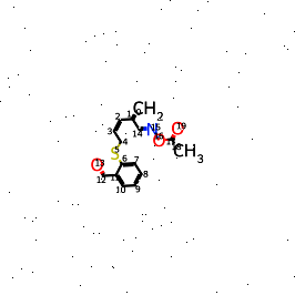 C=C(/C=C\CSc1ccccc1C=O)/C=N/OC(C)=O